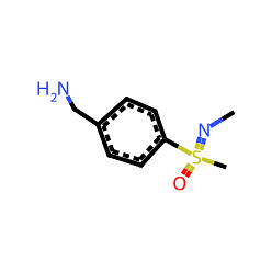 CN=S(C)(=O)c1ccc(CN)cc1